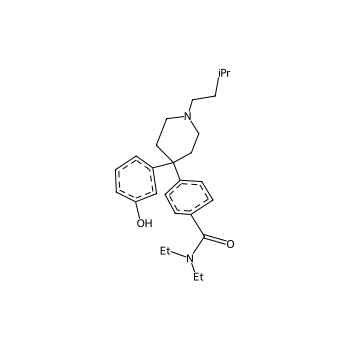 CCN(CC)C(=O)c1ccc(C2(c3cccc(O)c3)CCN(CCC(C)C)CC2)cc1